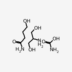 NC(=O)CCCO.NC(=O)O.NC(CO)CO